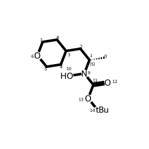 C[C@@H](CC1CCOCC1)N(O)C(=O)OC(C)(C)C